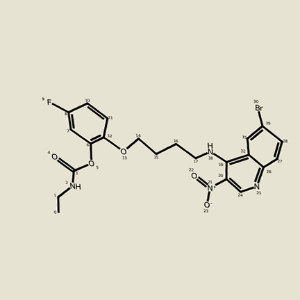 CCNC(=O)Oc1cc(F)ccc1OCCCCNc1c([N+](=O)[O-])cnc2ccc(Br)cc12